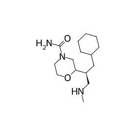 CNC[C@H](CC1CCCCC1)C1CN(C(N)=O)CCO1